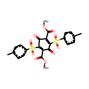 CCCCOC(=O)C1=C(S(=O)(=O)c2ccc(C)cc2)C(=O)C(C(=O)OCCCC)=C(S(=O)(=O)c2ccc(C)cc2)C1=O